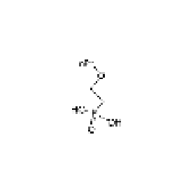 CCCOCCP(=O)(O)O